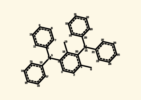 Cc1ccc(N(c2ccccc2)c2ccccc2)c(C)c1N(c1ccccc1)c1ccccc1